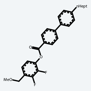 CCCCCCCc1ccc(-c2ccc(C(=O)Oc3ccc(COC)c(F)c3F)cc2)cc1